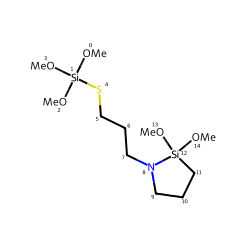 CO[Si](OC)(OC)SCCCN1CCC[Si]1(OC)OC